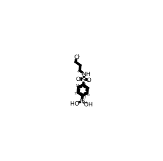 O=S(=O)(NCCCCl)c1ccc(B(O)O)cc1